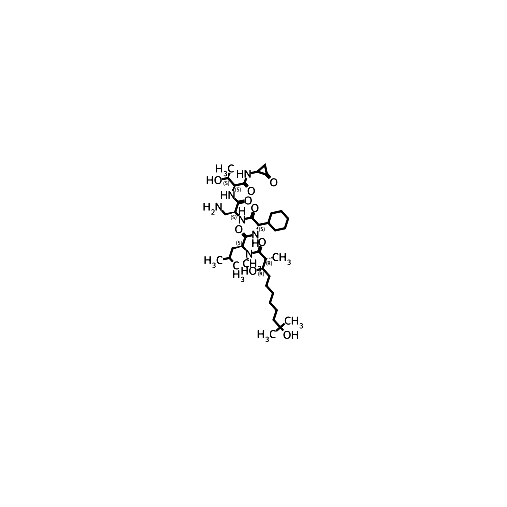 CC(C)C[C@@H](C(=O)N[C@H](C(=O)N[C@@H](CN)C(=O)N[C@H](C(=O)NC1CC1=O)[C@H](C)O)C1CCCCC1)N(C)C(=O)[C@H](C)[C@H](O)CCCCCCC(C)(C)O